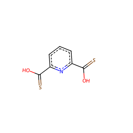 OC(=S)c1cccc(C(O)=S)n1